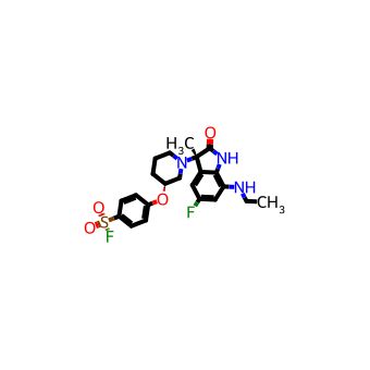 CCNc1cc(F)cc2c1NC(=O)[C@@]2(C)N1CCC[C@@H](Oc2ccc(S(=O)(=O)F)cc2)C1